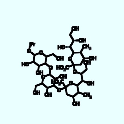 CC(C)OC1OC(CO)C(OC2OC(CO)C(O)C(OC3(C(=O)O)CC(O)C(C)C([C@H](O)C(CO)OC4(C(=O)O)CC(O)C(C)C([C@H](O)[C@H](O)CO)O4)O3)C2O)C(O)C1O